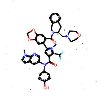 Cn1c(-c2cc3c(cc2C(=O)N2Cc4ccccc4C[C@H]2CN2CCOCC2)OCO3)cc(C(=O)N(c2ccc(O)cc2)c2cnc3c(ccn3C)c2)c1C(F)F